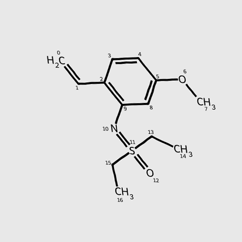 C=Cc1ccc(OC)cc1N=S(=O)(CC)CC